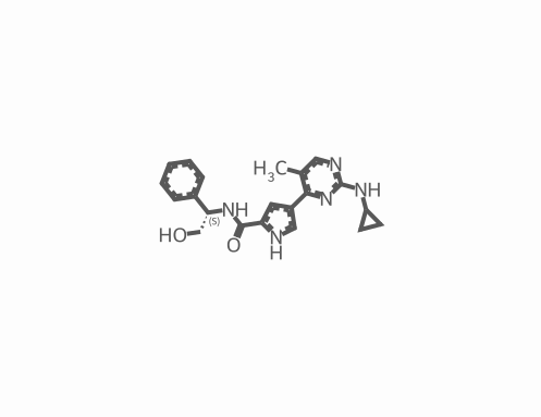 Cc1cnc(NC2CC2)nc1-c1c[nH]c(C(=O)N[C@H](CO)c2ccccc2)c1